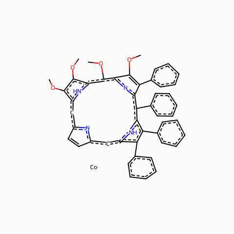 COC1=C(c2ccccc2)c2nc1c(OC)c1[nH]c(cc3nc(cc4[nH]c(c2-c2ccccc2)c(-c2ccccc2)c4-c2ccccc2)C=C3)c(OC)c1OC.[Co]